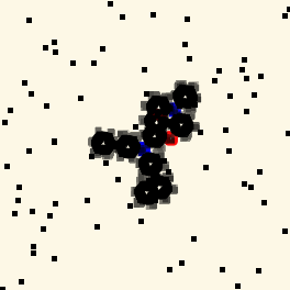 c1ccc(-c2ccc(N(c3ccc(-c4cccc5ccccc45)cc3)c3cc4c5c(cccc5c3)-c3c(cccc3N(c3ccccc3)c3ccccc3)O4)cc2)cc1